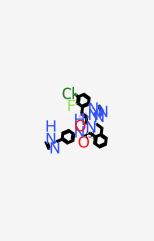 O=C(Nc1ccc(-c2ncc[nH]2)cc1)[C@@H]1c2ccccc2CCN1C(=O)/C=C/c1c(-n2cnnn2)ccc(Cl)c1F